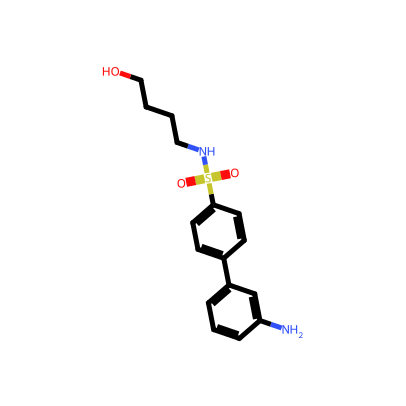 Nc1cccc(-c2ccc(S(=O)(=O)NCCCCO)cc2)c1